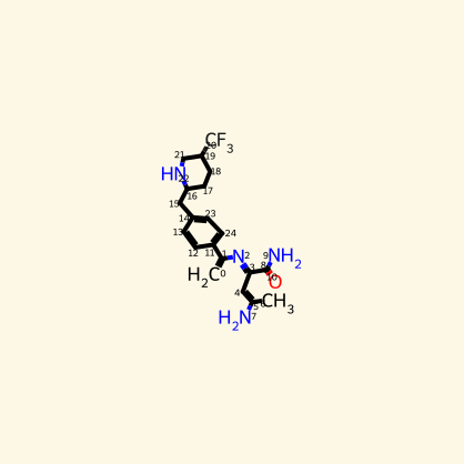 C=C(/N=C(\C=C(/C)N)C(N)=O)c1ccc(CC2CCC(C(F)(F)F)CN2)cc1